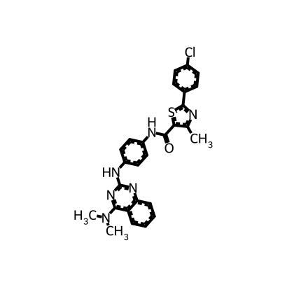 Cc1nc(-c2ccc(Cl)cc2)sc1C(=O)Nc1ccc(Nc2nc(N(C)C)c3ccccc3n2)cc1